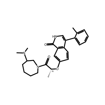 Cc1ccccc1-c1c[nH]c(=O)c2cc(O[C@H](C)C(=O)N3CCCCC(N(C)C)C3)ccc12